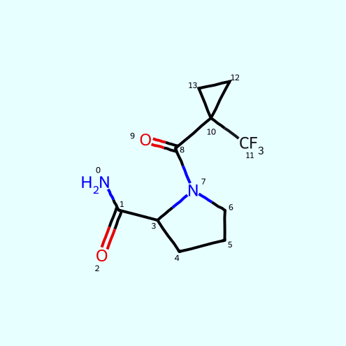 NC(=O)C1CCCN1C(=O)C1(C(F)(F)F)CC1